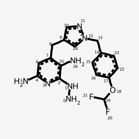 NNc1nc(N)cc(Cc2cnn(Cc3ccc(OC(F)F)cc3)c2)c1N